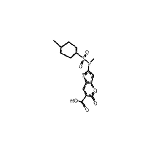 CC1CCC(S(=O)(=O)N(C)c2cc3oc(=O)c(C(=O)O)cc3s2)CC1